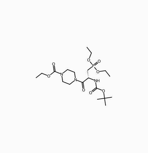 CCOC(=O)N1CCN(C(=O)[C@H](CP(=O)(OCC)OCC)NC(=O)OC(C)(C)C)CC1